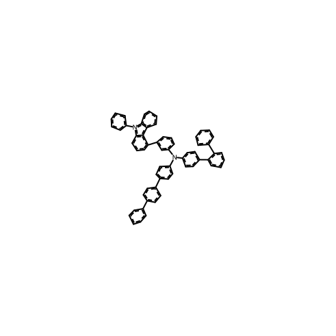 c1ccc(-c2ccc(-c3ccc(N(c4ccc(-c5ccccc5-c5ccccc5)cc4)c4cccc(-c5cccc6c5c5ccccc5n6-c5ccccc5)c4)cc3)cc2)cc1